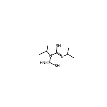 CC(C)N=C(S)N(C(=N)S)C(C)C